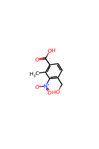 Cc1c(C(=O)O)ccc(CO)c1[N+](=O)[O-]